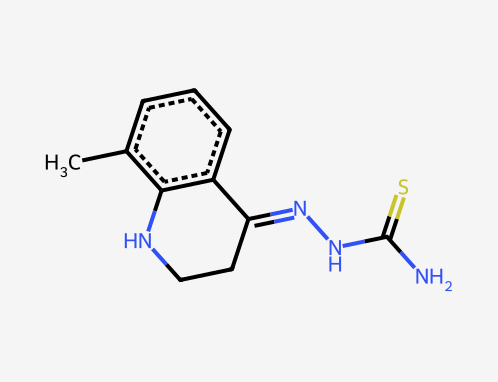 Cc1cccc2c1NCCC2=NNC(N)=S